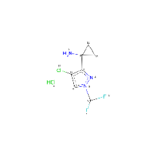 Cl.NC1(c2nn(C(F)F)cc2Cl)CC1